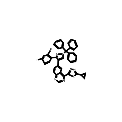 Fc1ccc(-c2nn(C(c3ccccc3)(c3ccccc3)c3ccccc3)cc2-c2ccc3ncnc(-c4nnc(C5CC5)s4)c3c2)c(F)c1